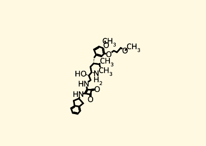 COCCCOc1cc(C[C@@H](C[C@H](N)[C@@H](O)CNc2c(NC3Cc4ccccc4C3)c(=O)c2=O)C(C)C)ccc1OC